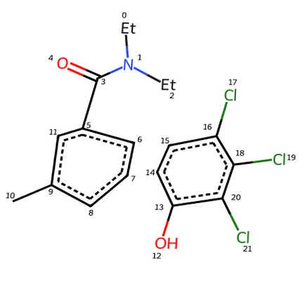 CCN(CC)C(=O)c1cccc(C)c1.Oc1ccc(Cl)c(Cl)c1Cl